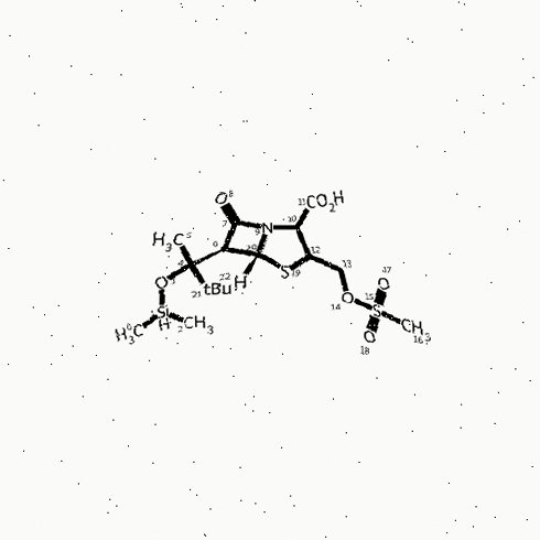 C[SiH](C)OC(C)([C@H]1C(=O)N2C(C(=O)O)C(COS(C)(=O)=O)S[C@H]12)C(C)(C)C